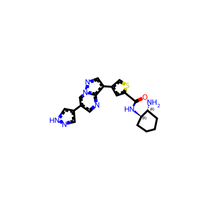 N[C@@H]1CCCC[C@H]1NC(=O)c1cc(-c2cnn3cc(-c4cn[nH]c4)cnc23)cs1